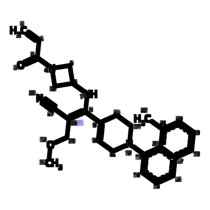 C=CC(=O)N1CC(N/C(C2=CCN(c3cccc4cccc(C)c34)CC2)=C(\C#N)COC)C1